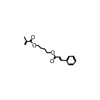 C=C(C)C(=O)OCCCCOC(=O)/C=C/c1ccccc1